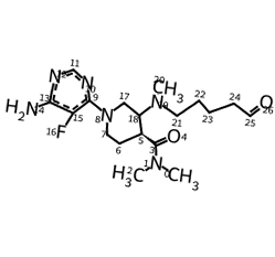 CN(C)C(=O)[C@H]1CCN(c2ncnc(N)c2F)CC1N(C)CCCCC=O